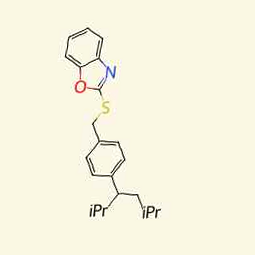 CC(C)CC(c1ccc(CSc2nc3ccccc3o2)cc1)C(C)C